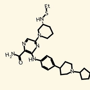 CCSN[C@@H]1CCCN(c2cnc(C(N)=O)c(Nc3ccc(C4CCN(C5CCCC5)CC4)cc3)n2)C1